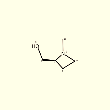 CN1CC[C@H]1CO